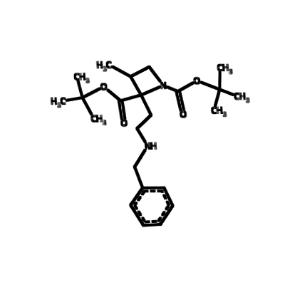 CC1CN(C(=O)OC(C)(C)C)C1(CCNCc1ccccc1)C(=O)OC(C)(C)C